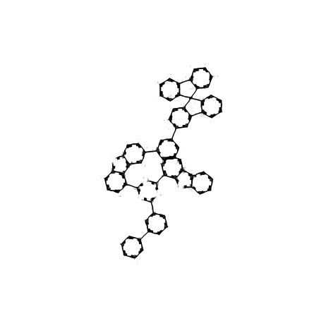 c1ccc(-c2cccc(-c3nc(-c4cccc5c4oc4ccccc45)nc(-c4cccc5oc6ccc(-c7cccc(-c8ccc9c(c8)-c8ccccc8C98c9ccccc9-c9ccccc98)c7)cc6c45)n3)c2)cc1